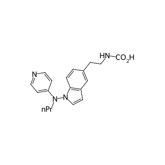 CCCN(c1ccncc1)n1ccc2cc(CCNC(=O)O)ccc21